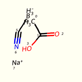 CC(=O)O.[BH3-]C#N.[Na+]